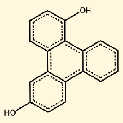 Oc1ccc2c3ccccc3c3c(O)cccc3c2c1